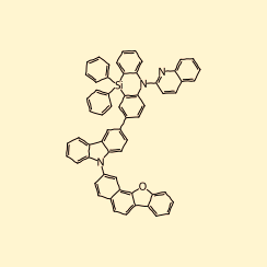 c1ccc([Si]2(c3ccccc3)c3ccccc3N(c3ccc4ccccc4n3)c3ccc(-c4ccc5c(c4)c4ccccc4n5-c4ccc5ccc6c7ccccc7oc6c5c4)cc32)cc1